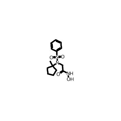 CC1(N(CC(=O)NO)S(=O)(=O)c2ccccc2)CCCC1